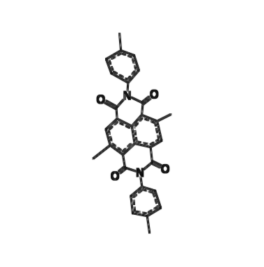 Cc1ccc(N2C(=O)c3cc(C)c4c5c(cc(C)c(c35)C2=O)C(=O)N(c2ccc(C)cc2)C4=O)cc1